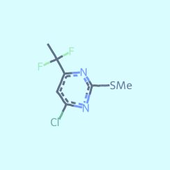 CSc1nc(Cl)cc(C(C)(F)F)n1